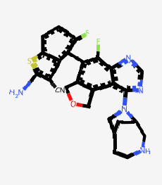 N#Cc1c(N)sc2ccc(F)c(-c3c4c(c5c(N6CC7CCNCC6C7)ncnc5c3F)COC4)c12